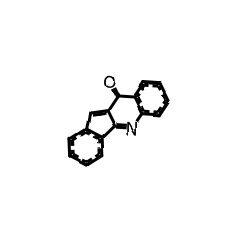 O=C1C2=Cc3ccccc3C2=Nc2ccccc21